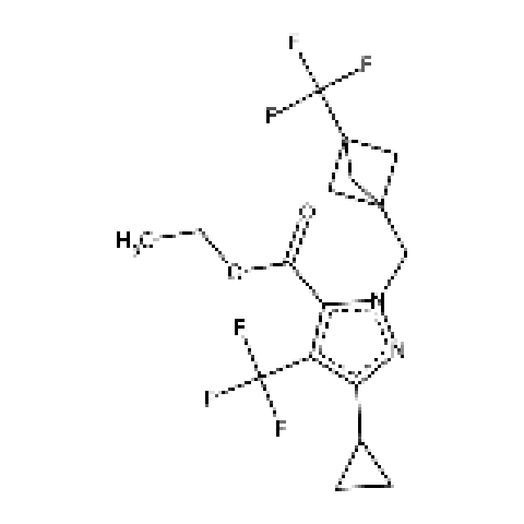 CCOC(=O)c1c(C(F)(F)F)c(C2CC2)nn1CC12CC(C(F)(F)F)(C1)C2